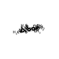 COc1nn(C(=O)c2cc(F)c3nc(C)cn3c2)c2ccc(N3C[C@H](C)N(C(=O)OC(C)(C)C)[C@@H](C)C3)cc12